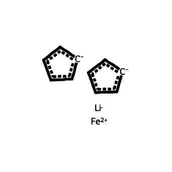 [Fe+2].[Li].c1cc[cH-]c1.c1cc[cH-]c1